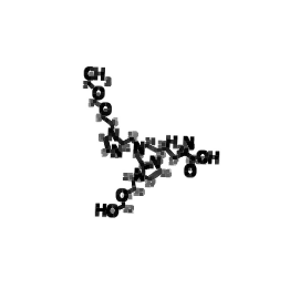 CCOCOCCn1ccnc1CN(CCCCC(N)C(=O)O)Cc1nccn1CCOCO